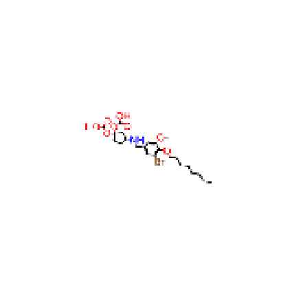 CCCCCCCCOc1c(Br)cc(CNC2CCC(OC(=O)O)(OC(=O)O)C2)cc1OC